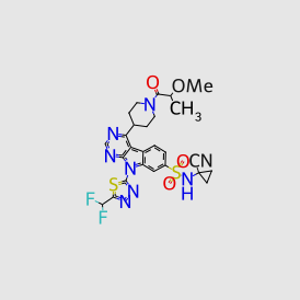 COC(C)C(=O)N1CCC(c2ncnc3c2c2ccc(S(=O)(=O)NC4(C#N)CC4)cc2n3-c2nnc(C(F)F)s2)CC1